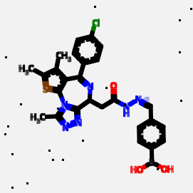 Cc1sc2c(c1C)C(c1ccc(Cl)cc1)=NC(CC(=O)N/N=C\c1ccc(B(O)O)cc1)c1nnc(C)n1-2